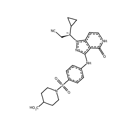 N#CC[C@@H](C1CC1)n1nc(Nc2ccc(S(=O)(=O)N3CCC(C(=O)O)CC3)cc2)c2c(=O)[nH]ccc21